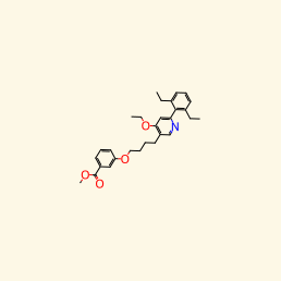 CCOc1cc(-c2c(CC)cccc2CC)ncc1CCCCOc1cccc(C(=O)OC)c1